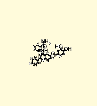 NC(=O)c1ccccc1Nc1nc(-c2cccnc2)nc2ccc(OCc3ccc(O)c(O)c3)cc12